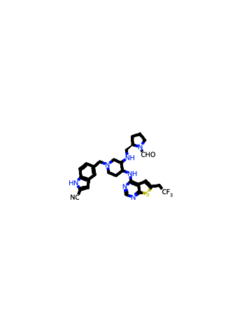 N#Cc1cc2cc(CN3CCC(Nc4ncnc5sc(CC(F)(F)F)cc45)C(NC[C@H]4CCCN4C=O)C3)ccc2[nH]1